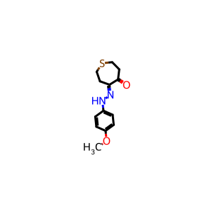 COc1ccc(N/N=C2\CCSCCC2=O)cc1